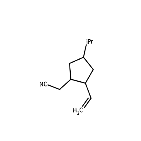 C=CC1CC(C(C)C)CC1CC#N